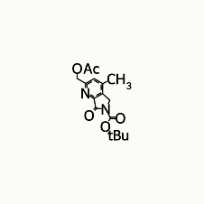 CC(=O)OCc1cc(C)c2c(n1)C(=O)N(C(=O)OC(C)(C)C)C2